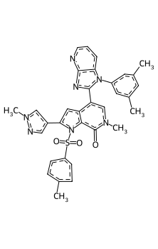 Cc1ccc(S(=O)(=O)n2c(-c3cnn(C)c3)cc3c(-c4nc5ncccc5n4-c4cc(C)cc(C)c4)cn(C)c(=O)c32)cc1